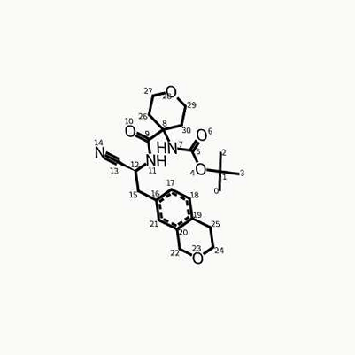 CC(C)(C)OC(=O)NC1(C(=O)N[C@H](C#N)Cc2ccc3c(c2)COCC3)CCOCC1